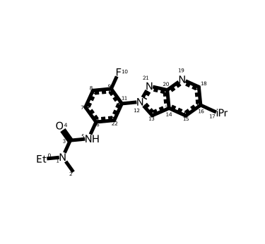 CCN(C)C(=O)Nc1ccc(F)c(-n2cc3cc(C(C)C)cnc3n2)c1